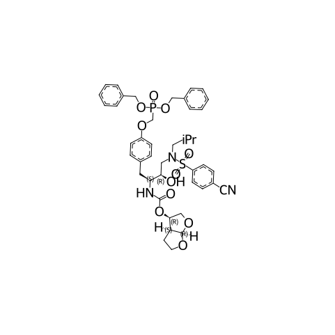 CC(C)CN(C[C@@H](O)[C@H](Cc1ccc(OCP(=O)(OCc2ccccc2)OCc2ccccc2)cc1)NC(=O)O[C@H]1CO[C@H]2OCC[C@H]21)S(=O)(=O)c1ccc(C#N)cc1